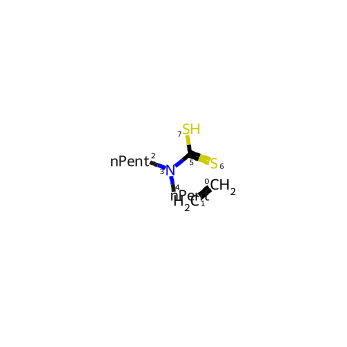 C=C.CCCCCN(CCCCC)C(=S)S